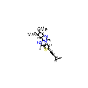 COc1cc2nc(C)nc(NC(C)c3ccc(C#CC4CC4)s3)c2cc1OC